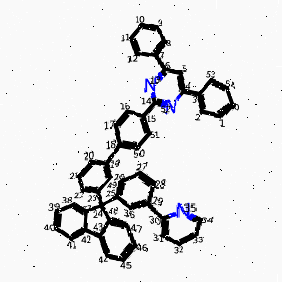 c1ccc(-c2cc(-c3ccccc3)nc(-c3ccc(-c4cccc(C5(c6cccc(-c7ccccn7)c6)c6ccccc6-c6ccccc65)c4)cc3)n2)cc1